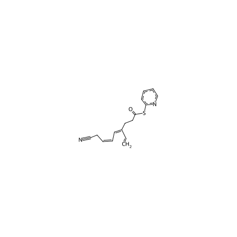 C=C/C(=C\C=C/CC#N)CCC(=O)Sc1ccccn1